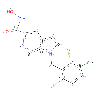 O=C(NO)c1cc2ccn(Cc3c(F)ccc(Cl)c3F)c2cn1